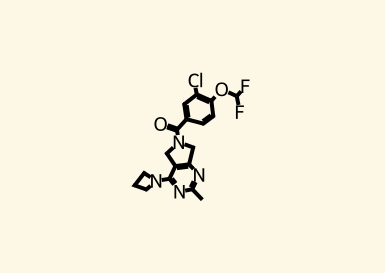 Cc1nc2c(c(N3CCC3)n1)CN(C(=O)c1ccc(OC(F)F)c(Cl)c1)C2